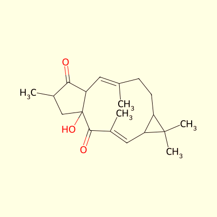 C/C1=C\C2C(=O)C(C)CC2(O)C(=O)/C(C)=C/C2C(CC1)C2(C)C